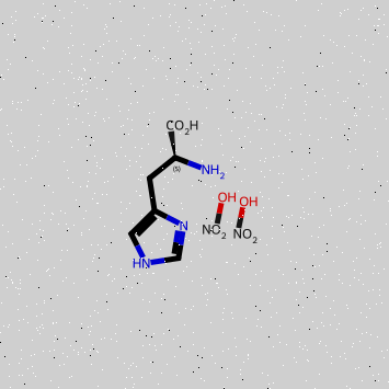 N[C@@H](Cc1c[nH]cn1)C(=O)O.O=[N+]([O-])O.O=[N+]([O-])O